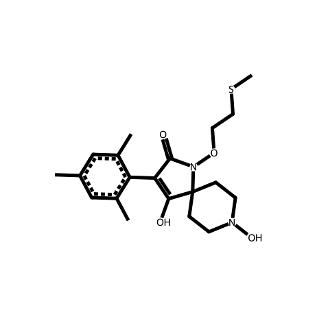 CSCCON1C(=O)C(c2c(C)cc(C)cc2C)=C(O)C12CCN(O)CC2